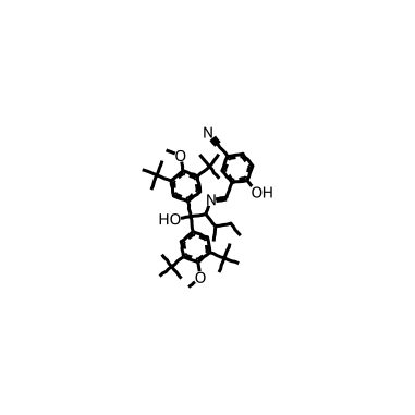 CCC(C)C(N=Cc1cc(C#N)ccc1O)C(O)(c1cc(C(C)(C)C)c(OC)c(C(C)(C)C)c1)c1cc(C(C)(C)C)c(OC)c(C(C)(C)C)c1